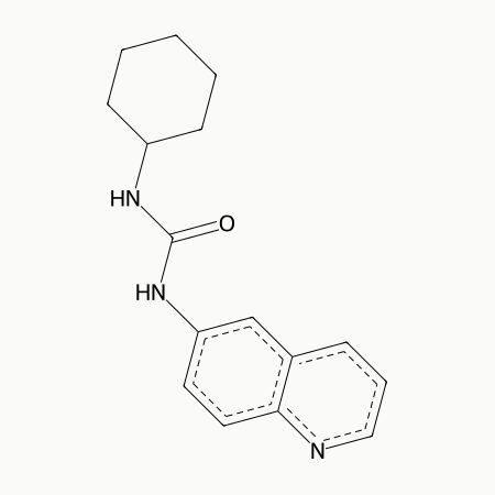 O=C(Nc1ccc2ncccc2c1)NC1CCCCC1